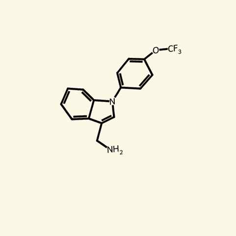 NCc1cn(-c2ccc(OC(F)(F)F)cc2)c2ccccc12